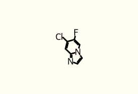 Fc1cn2ccnc2cc1Cl